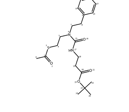 CC(=O)SCCN(CCc1ccccc1)C(=O)NCCC(=O)OC(C)(C)C